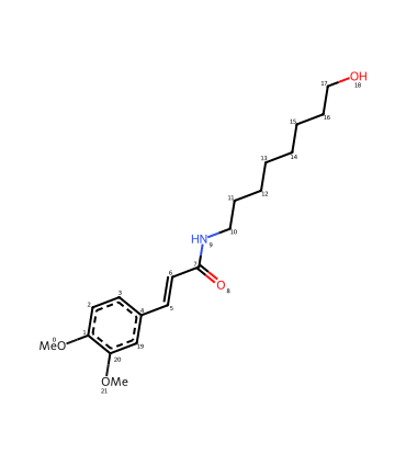 COc1ccc(/C=C/C(=O)NCCCCCCCCO)cc1OC